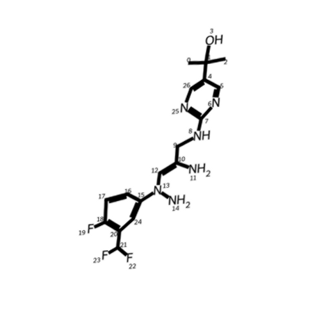 CC(C)(O)c1cnc(NC/C(N)=C/N(N)c2ccc(F)c(C(F)F)c2)nc1